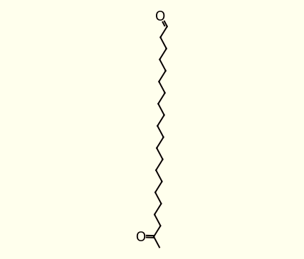 CC(=O)CCCCCCCCCCCCCCCCCCC=O